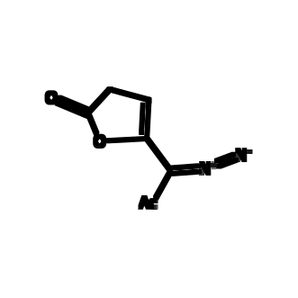 CC(=O)C(=[N+]=[N-])C1=CCC(=O)O1